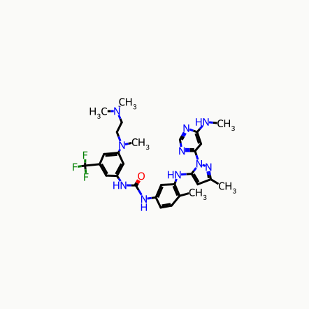 CNc1cc(-n2nc(C)cc2Nc2cc(NC(=O)Nc3cc(N(C)CCN(C)C)cc(C(F)(F)F)c3)ccc2C)ncn1